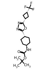 CC(C)(C)OC(=O)N[C@H]1CC[C@H](c2nnc([C@H]3C[C@@H](C(F)(F)F)C3)o2)CC1